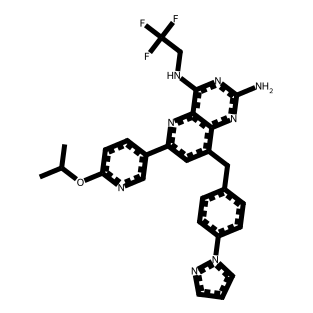 CC(C)Oc1ccc(-c2cc(Cc3ccc(-n4cccn4)cc3)c3nc(N)nc(NCC(F)(F)F)c3n2)cn1